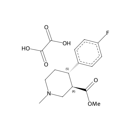 COC(=O)[C@H]1CN(C)CC[C@@H]1c1ccc(F)cc1.O=C(O)C(=O)O